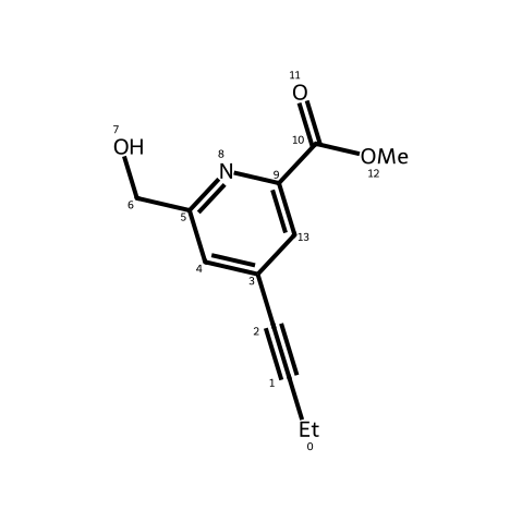 CCC#Cc1cc(CO)nc(C(=O)OC)c1